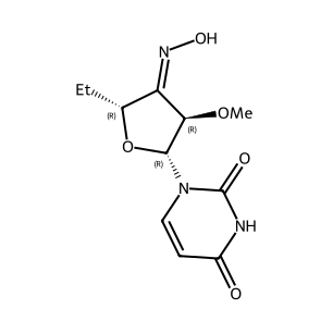 CC[C@H]1O[C@@H](n2ccc(=O)[nH]c2=O)[C@H](OC)C1=NO